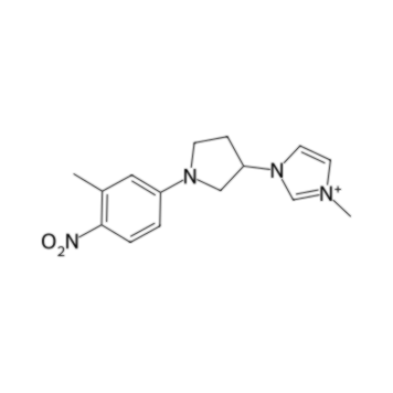 Cc1cc(N2CCC(n3cc[n+](C)c3)C2)ccc1[N+](=O)[O-]